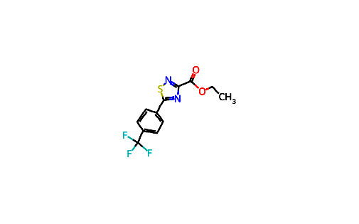 CCOC(=O)c1nsc(-c2ccc(C(F)(F)F)cc2)n1